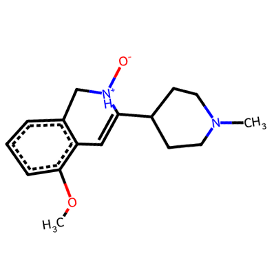 COc1cccc2c1C=C(C1CCN(C)CC1)[NH+]([O-])C2